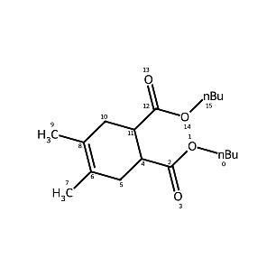 CCCCOC(=O)C1CC(C)=C(C)CC1C(=O)OCCCC